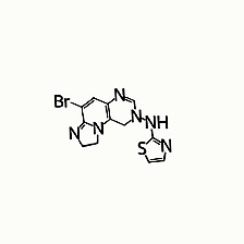 BrC1=CC2=C(CN(Nc3nccs3)C=N2)N2CCN=C12